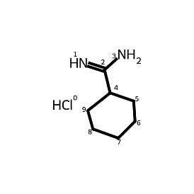 Cl.N=C(N)C1CCCCC1